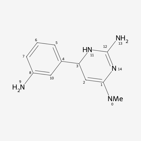 CNC1=CC(c2cccc(N)c2)NC(N)=N1